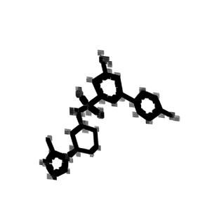 Cc1nncn1[C@@H]1CCC[C@H](NS(=O)(=O)c2cc(-c3ccc(F)cc3)cc(C(F)(F)F)c2)C1